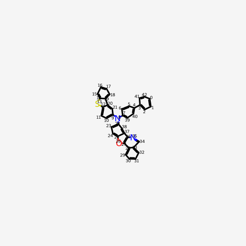 c1ccc(-c2ccc(N(c3ccc4sc5ccccc5c4c3)c3ccc4oc5c6ccccc6cnc5c4c3)cc2)cc1